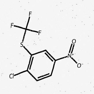 O=[N+]([O-])c1ccc(Cl)c(SC(F)(F)F)c1